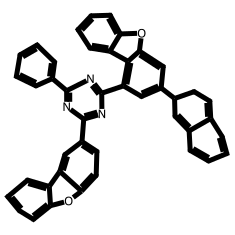 C1=c2ccccc2=CC(c2cc(-c3nc(-c4ccccc4)nc(-c4ccc5oc6ccccc6c5c4)n3)c3c(c2)oc2ccccc23)C1